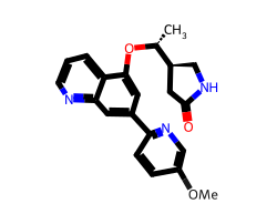 COc1ccc(-c2cc(O[C@H](C)[C@H]3CNC(=O)C3)c3cccnc3c2)nc1